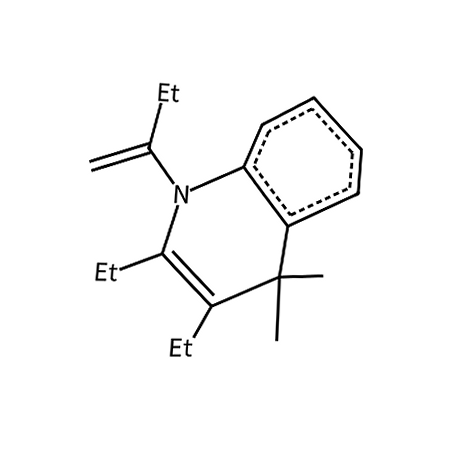 C=C(CC)N1C(CC)=C(CC)C(C)(C)c2ccccc21